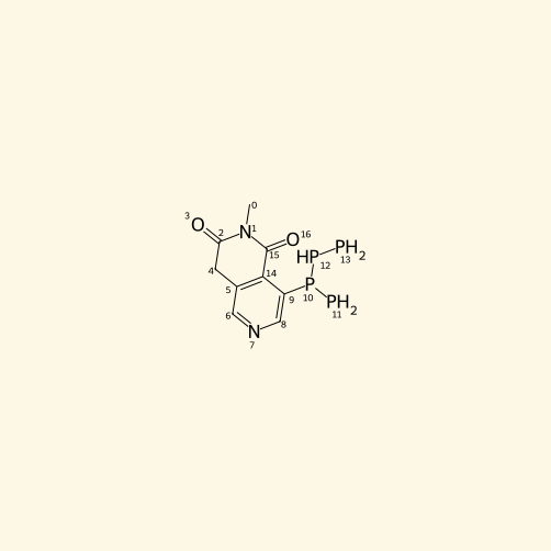 CN1C(=O)Cc2cncc(P(P)PP)c2C1=O